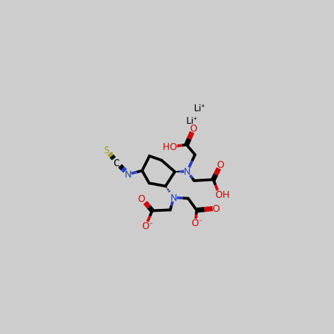 O=C([O-])CN(CC(=O)[O-])[C@@H]1CC(N=C=S)CC[C@H]1N(CC(=O)O)CC(=O)O.[Li+].[Li+]